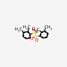 Cc1cccc(S(=O)(=O)S(=O)(=O)c2cccc(C)c2C)c1C